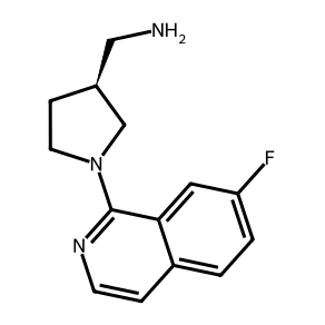 NC[C@@H]1CCN(c2nccc3ccc(F)cc23)C1